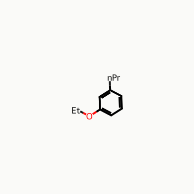 [CH2]CCc1cccc(OCC)c1